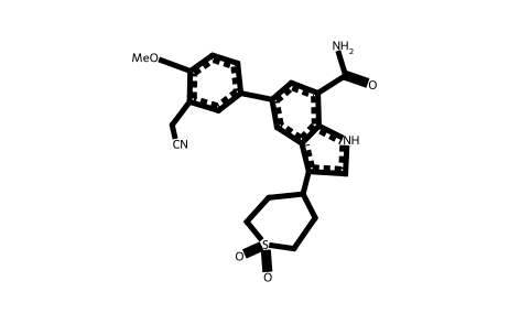 COc1ccc(-c2cc(C(N)=O)c3[nH]cc(C4CCS(=O)(=O)CC4)c3c2)cc1CC#N